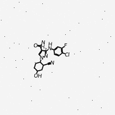 N#CC1CC(O)CCC1n1cc(C(N)=O)c(Nc2ccc(Cl)c(F)c2)n1